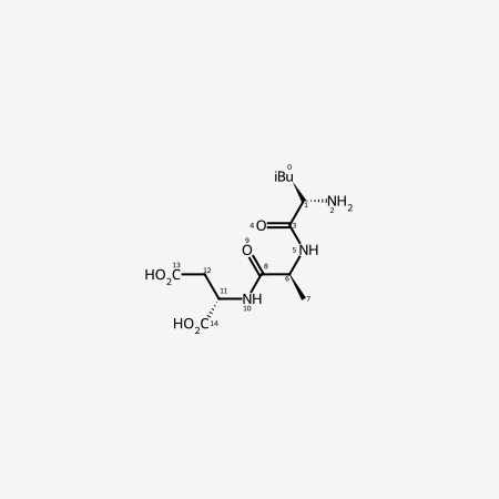 CC[C@H](C)[C@H](N)C(=O)N[C@@H](C)C(=O)N[C@@H](CC(=O)O)C(=O)O